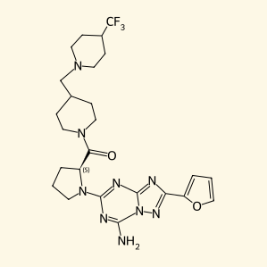 Nc1nc(N2CCC[C@H]2C(=O)N2CCC(CN3CCC(C(F)(F)F)CC3)CC2)nc2nc(-c3ccco3)nn12